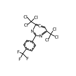 FC(F)(F)c1ccc(C2=NC(C(Cl)(Cl)Cl)=C=CC(C(Cl)(Cl)Cl)=N2)cc1